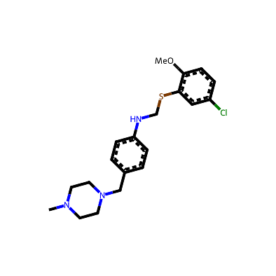 COc1ccc(Cl)cc1SCNc1ccc(CN2CCN(C)CC2)cc1